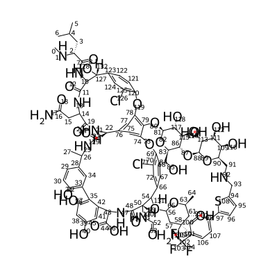 CN[C@H](CC(C)C)C(=O)NC1C(=O)NC(CC(N)=O)C(=O)N[C@H]2C(=O)NC(C)c3ccc(O)c(c3)-c3c(O)cc(O)cc3C(C(=O)O)NC(=O)[C@@H](NC=O)[C@H](OC3C[C@](C)(N)[C@@H](O)[C@H](C)O3)c3ccc(c(Cl)c3)Oc3cc2cc(c3O[C@@H]2O[C@H](CO)[C@@H](O[C@@H]3O[C@H](CNCc4ccc(-c5ccc(C(F)(F)F)cc5)s4)[C@H](O)[C@H](O)[C@H]3O)[C@H](O)[C@H]2O)Oc2ccc(cc2Cl)[C@H]1O